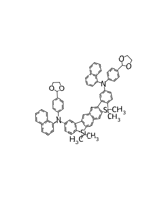 C[Si]1(C)c2ccc(N(c3ccc(C4OCCO4)cc3)c3cccc4ccccc34)cc2-c2cc3cc4c(cc3cc21)[Si](C)(C)c1ccc(N(c2ccc(C3OCCO3)cc2)c2cccc3ccccc23)cc1-4